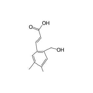 Cc1cc(C=CC(=O)O)c(CO)cc1C